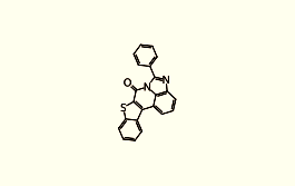 O=c1c2sc3ccccc3c2c2cccc3nc(-c4ccccc4)n1c32